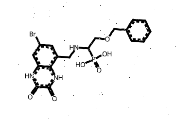 O=c1[nH]c2cc(Br)cc(CNC(COCc3ccccc3)P(=O)(O)O)c2[nH]c1=O